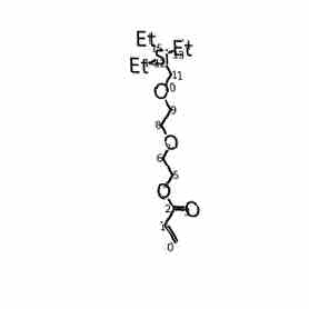 C=CC(=O)OCCOCCOC[Si](CC)(CC)CC